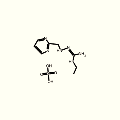 CCNC(N)=NNCc1ncccn1.O=S(=O)(O)O